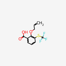 C=CCOc1c(SC(F)(F)F)cccc1C(=O)O